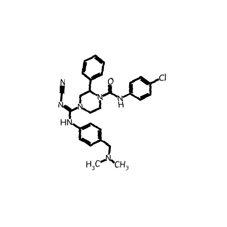 CN(C)Cc1ccc(N/C(=N/C#N)N2CCN(C(=O)Nc3ccc(Cl)cc3)C(c3ccccc3)C2)cc1